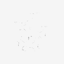 COCCOc1cc([C](Cc2ccc(OC)cc2)C(=O)OC(c2ccccc2)c2ccccc2)c(Cl)c(OC)c1OCCOC